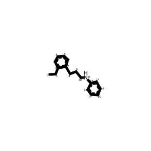 CCc1ccccc1CCCNc1cc[c]cc1